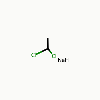 CC(Cl)Cl.[NaH]